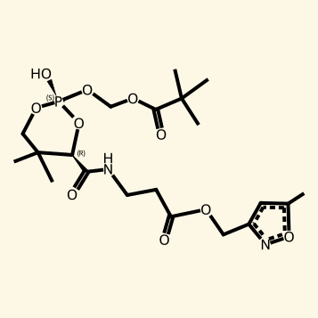 Cc1cc(COC(=O)CCNC(=O)[C@@H]2O[P@@](O)(OCOC(=O)C(C)(C)C)OCC2(C)C)no1